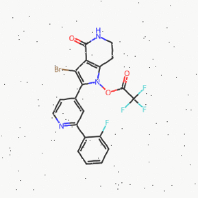 O=C1NCCc2c1c(Br)c(-c1ccnc(-c3ccccc3F)c1)n2OC(=O)C(F)(F)F